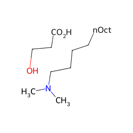 CCCCCCCCCCCCN(C)C.O=C(O)CCO